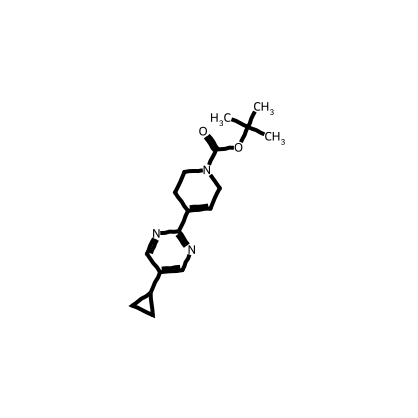 CC(C)(C)OC(=O)N1CC=C(c2ncc(C3CC3)cn2)CC1